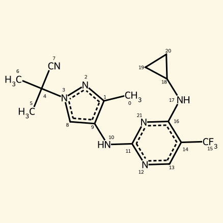 Cc1nn(C(C)(C)C#N)cc1Nc1ncc(C(F)(F)F)c(NC2CC2)n1